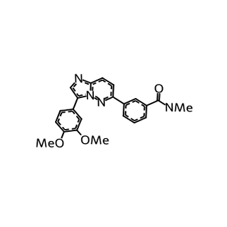 CNC(=O)c1cccc(-c2ccc3ncc(-c4ccc(OC)c(OC)c4)n3n2)c1